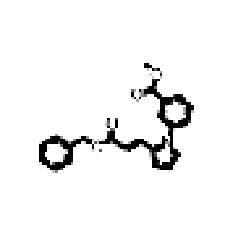 COC(=O)c1cccc(-n2cccc2C=CC(=O)OCc2ccccc2)c1